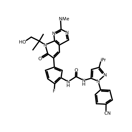 CNc1ncc2cc(-c3ccc(F)c(NC(=O)Nc4cc(C(C)C)nn4-c4ccc(C#N)cc4)c3)c(=O)n(C(C)(C)CO)c2n1